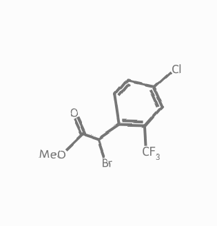 COC(=O)C(Br)c1ccc(Cl)cc1C(F)(F)F